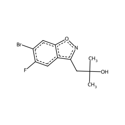 CC(C)(O)Cc1noc2cc(Br)c(F)cc12